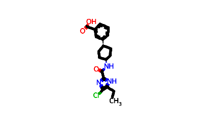 CCc1[nH]c(C(=O)N[C@H]2CC[C@@H](c3cccc(C(=O)O)c3)CC2)nc1Cl